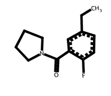 CCc1ccc(F)c(C(=O)N2CCCC2)c1